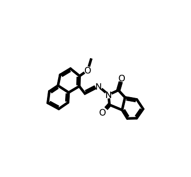 COc1ccc2ccccc2c1C=NN1C(=O)c2ccccc2C1=O